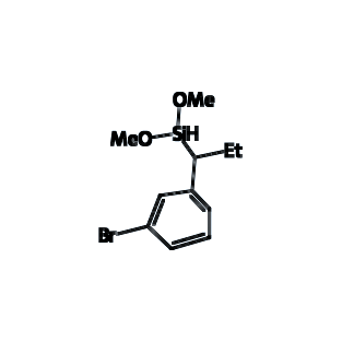 CCC(c1cccc(Br)c1)[SiH](OC)OC